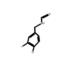 O=CNCc1ccc(Cl)c(F)c1